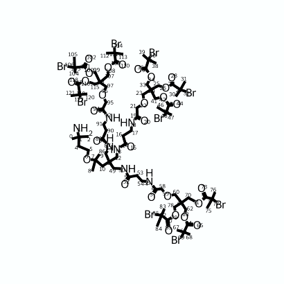 CC(C)(N)CCOC(C)(C)CC(CNC(=O)CCNC(=O)COCC(COC(=O)C(C)(C)Br)(COC(=O)C(C)(C)Br)COC(=O)C(C)(C)Br)(CNC(=O)CCNC(=O)COCC(COC(=O)C(C)(C)Br)(COC(=O)C(C)(C)Br)COC(=O)C(C)(C)Br)CNC(=O)CCNC(=O)COCC(COC(=O)C(C)(C)Br)(COC(=O)C(C)(C)Br)COC(=O)C(C)(C)Br